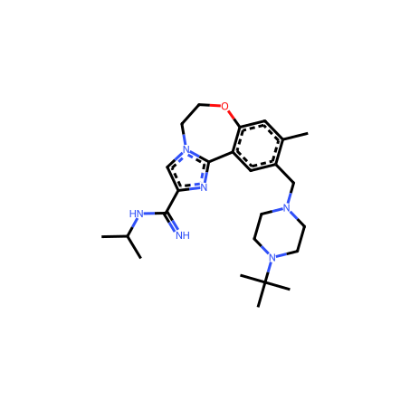 Cc1cc2c(cc1CN1CCN(C(C)(C)C)CC1)-c1nc(C(=N)NC(C)C)cn1CCO2